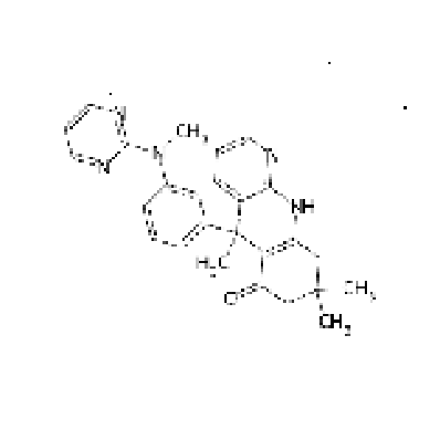 CN(c1cccc(C2(C)C3=C(CC(C)(C)CC3=O)Nc3ncccc32)c1)c1ncccn1